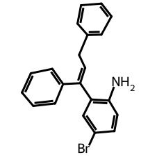 Nc1ccc(Br)cc1C(=CCc1ccccc1)c1ccccc1